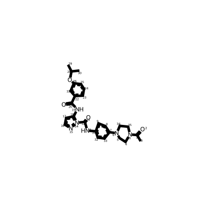 CC(=O)N1CCN(c2ccc(NC(=O)n3nccc3NC(=O)c3cccc(OC(C)C)c3)cc2)CC1